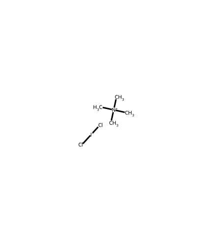 C[N+](C)(C)C.Cl[I-]Cl